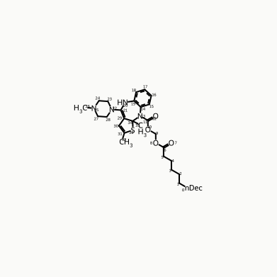 CCCCCCCCCCCCCCCC(=O)OCOC(=O)N1c2ccccc2NC(N2CCN(C)CC2)=C2C=C(C)SC21C